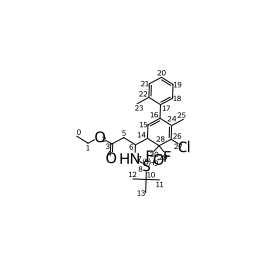 CCOC(=O)CC(N[S@+]([O-])C(C)(C)C)C1C=C(c2ccccc2C)C(C)=C(Cl)C1(F)F